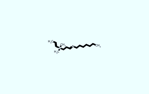 CC=C[Si](C)(C)CCC=NCCCCCCC